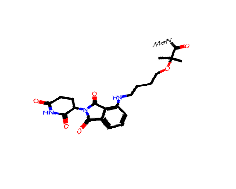 CNC(=O)C(C)(C)OCCCCNc1cccc2c1C(=O)N(C1CCC(=O)NC1=O)C2=O